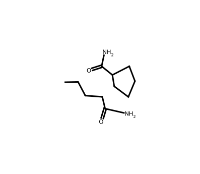 CCCCC(N)=O.NC(=O)C1CCCC1